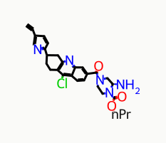 C#Cc1ccc(C2CCc3c(nc4cc(C(=O)N5CCN(C(=O)OCCC)[C@H](N)C5)ccc4c3Cl)C2)nc1